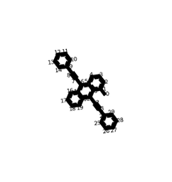 Cc1cccc2c(C#Cc3ccccc3)c3ccccc3c(C#Cc3ccccc3)c12